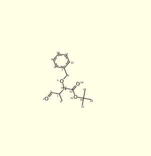 CC(C=O)N(OCc1ccccc1)C(=O)OC(C)(C)C